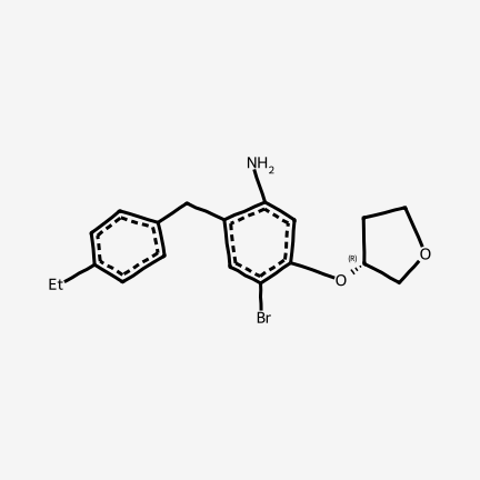 CCc1ccc(Cc2cc(Br)c(O[C@@H]3CCOC3)cc2N)cc1